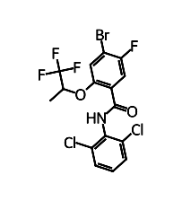 CC(Oc1cc(Br)c(F)cc1C(=O)Nc1c(Cl)cccc1Cl)C(F)(F)F